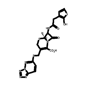 O=C(Cc1ccsc1O)NC1C(=O)N2C(C(=O)O)=C(CSc3ccc4nnnn4n3)CS[C@@H]12